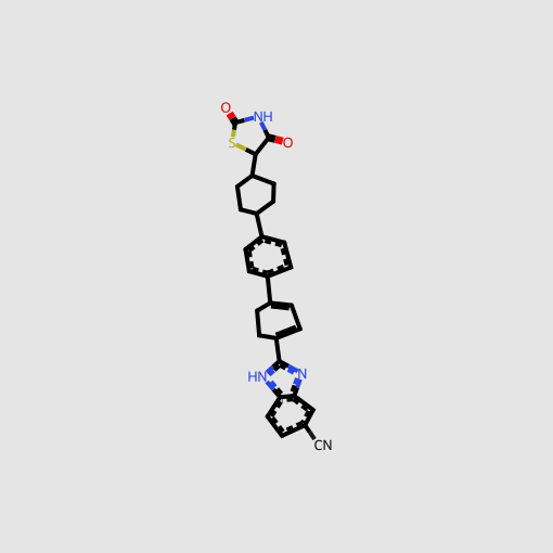 N#Cc1ccc2[nH]c(C3=CC=C(c4ccc(C5CCC(C6SC(=O)NC6=O)CC5)cc4)CC3)nc2c1